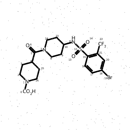 O=C(O)N1CCC(C(=O)N2CCC(NS(=O)(=O)c3ccc(Br)cc3C(F)(F)F)CC2)CC1